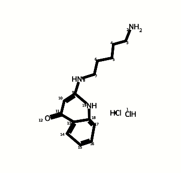 Cl.Cl.NCCCCCNc1cc(=O)c2ccccc2[nH]1